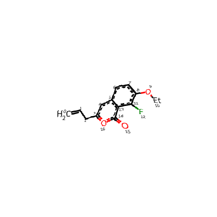 C=CCc1cc2ccc(OCC)c(F)c2c(=O)o1